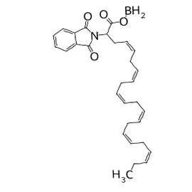 BOC(=O)C(C/C=C\C/C=C\C/C=C\C/C=C\C/C=C\C/C=C\CC)N1C(=O)c2ccccc2C1=O